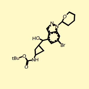 CC(C)(C)OC(=O)NC1CC(C(O)c2cc(Br)cc3c2cnn3C2CCCCO2)C1